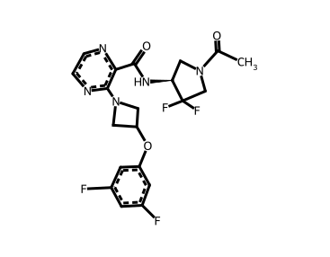 CC(=O)N1C[C@H](NC(=O)c2nccnc2N2CC(Oc3cc(F)cc(F)c3)C2)C(F)(F)C1